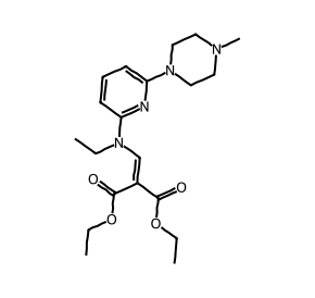 CCOC(=O)C(=CN(CC)c1cccc(N2CCN(C)CC2)n1)C(=O)OCC